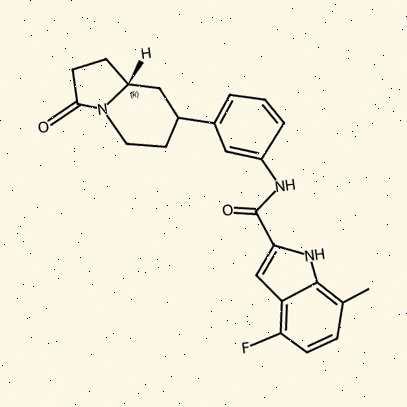 Cc1ccc(F)c2cc(C(=O)Nc3cccc(C4CCN5C(=O)CC[C@@H]5C4)c3)[nH]c12